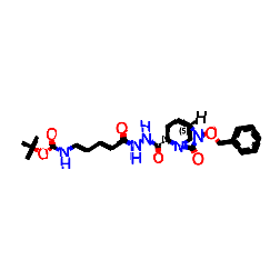 CC(C)(C)OC(=O)NCCCCC(=O)NNC(=O)[C@@H]1CC[C@H]2CN1C(=O)N2OCc1ccccc1